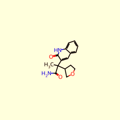 CC(C(N)=O)(c1cc2ccccc2[nH]c1=O)C1CCOC1